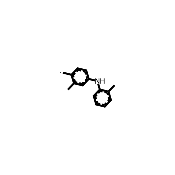 [CH2]c1ccc(Nc2ccccc2C)cc1C